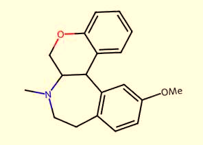 COc1ccc2c(c1)C1c3ccccc3OCC1N(C)CC2